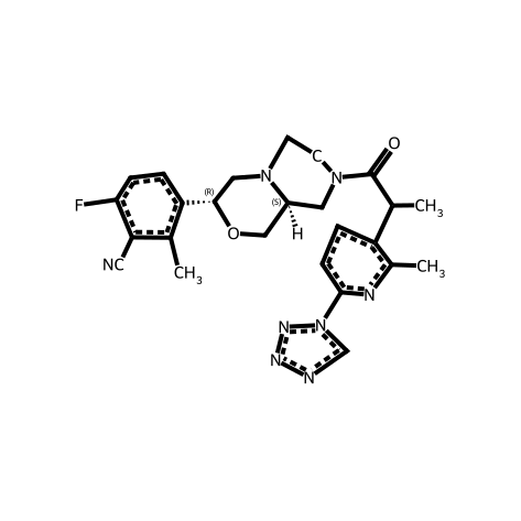 Cc1nc(-n2cnnn2)ccc1C(C)C(=O)N1CCN2C[C@@H](c3ccc(F)c(C#N)c3C)OC[C@@H]2C1